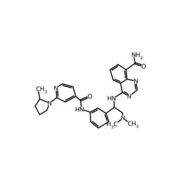 CC1CCCN1c1cc(C(=O)Nc2cccc(C(CN(C)C)Nc3ncnc4c(C(N)=O)cccc34)c2)ccn1